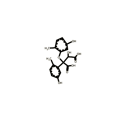 Cc1ccc(O)cc1OC(C(=O)O)(c1cc(O)ccc1C)C(O)C(=O)O